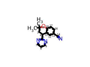 CC1(C)CC(c2ncccn2)c2cc(C#N)ccc2O1